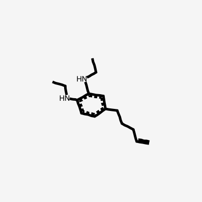 C=CCCCc1ccc(NCC)c(NCC)c1